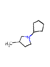 [CH2]C1CCN(C2CCCC2)C1